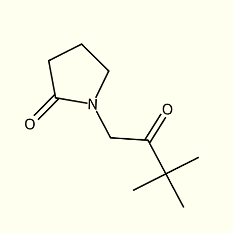 CC(C)(C)C(=O)CN1CCCC1=O